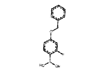 OB(O)c1ccc(OCc2ccccn2)cc1F